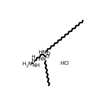 CCCCCCCCCCCCCCCCCCCCCC(=O)NC(CCCCNC(=N)N)C(=O)NCCCCCCCCCCCC.Cl